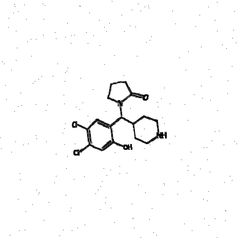 O=C1CCCN1C(c1cc(Cl)c(Cl)cc1O)C1CCNCC1